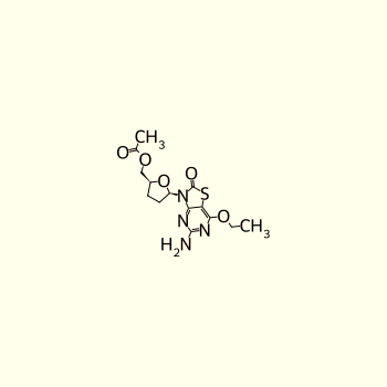 CCOc1nc(N)nc2c1sc(=O)n2[C@H]1CC[C@@H](COC(C)=O)O1